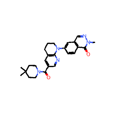 Cn1ncc2cc(N3CCCc4cc(C(=O)N5CCC(C)(C)CC5)cnc43)ccc2c1=O